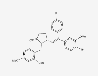 COc1ccc(CN2C(=O)CC[C@@H]2/C=C(\c2ccc(Cl)cc2)c2ccc(Br)c(OC)n2)c(OC)c1